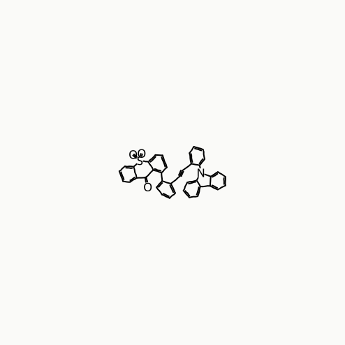 O=C1c2ccccc2S(=O)(=O)c2cccc(-c3ccccc3C#Cc3ccccc3-n3c4ccccc4c4ccccc43)c21